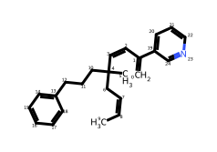 C=C(/C=C\C(C)(C/C=C\C)CCCc1ccccc1)c1cccnc1